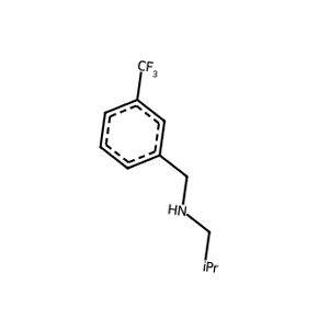 CC(C)CNCc1cccc(C(F)(F)F)c1